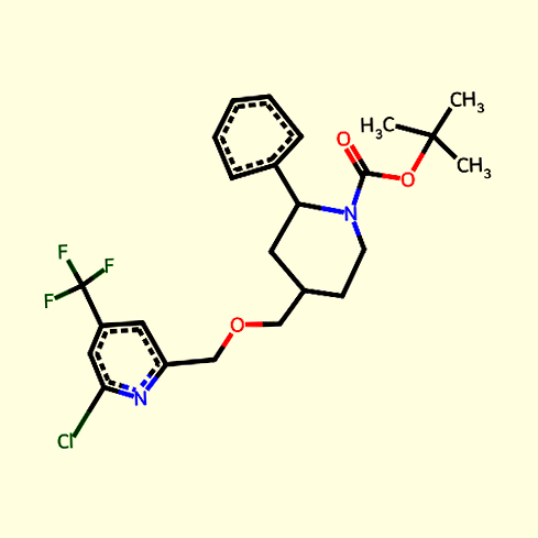 CC(C)(C)OC(=O)N1CCC(COCc2cc(C(F)(F)F)cc(Cl)n2)CC1c1ccccc1